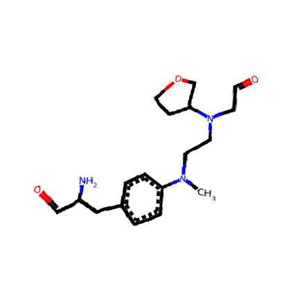 CN(CCN(CC=O)C1CCOC1)c1ccc(CC(N)C=O)cc1